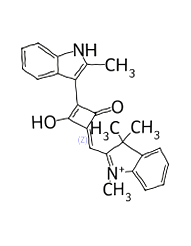 Cc1[nH]c2ccccc2c1C1=C(O)/C(=C/C2=[N+](C)c3ccccc3C2(C)C)C1=O